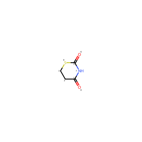 O=C1CCSC(=O)N1